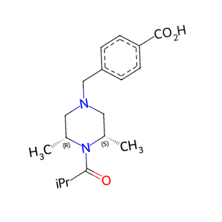 CC(C)C(=O)N1[C@H](C)CN(Cc2ccc(C(=O)O)cc2)C[C@@H]1C